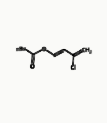 C=C(Cl)C=COC(=O)CCCC